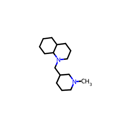 CN1CCCC(CN2CCCC3CCCCC32)C1